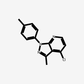 Cc1ccc(-n2nc(C)c3c(Cl)ccnc32)cc1